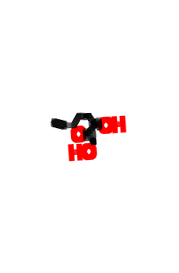 C#CC1C=C[C@@H](O)[C@@H](CO)O1